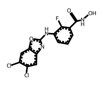 O=C(NO)c1cccc(Nc2nc3cc(Cl)c(Cl)cc3o2)c1F